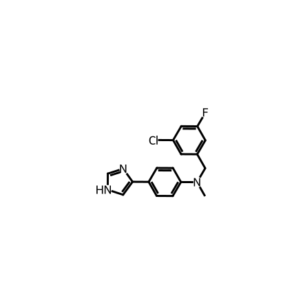 CN(Cc1cc(F)cc(Cl)c1)c1ccc(-c2c[nH]cn2)cc1